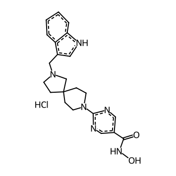 Cl.O=C(NO)c1cnc(N2CCC3(CCN(Cc4c[nH]c5ccccc45)C3)CC2)nc1